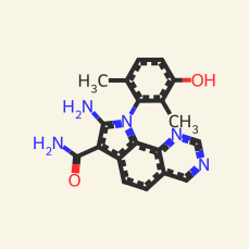 Cc1ccc(O)c(C)c1-n1c(N)c(C(N)=O)c2ccc3cncnc3c21